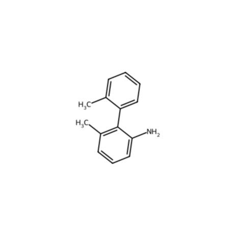 Cc1ccccc1-c1c(C)cccc1N